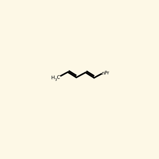 [CH2]CC/C=C/C=C/C